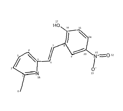 Cc1cccc(/C=C/c2cc([N+](=O)[O-])ccc2O)n1